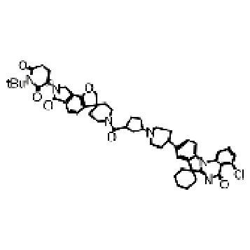 CC(C)(C)N1C(=O)CC[C@H](N2Cc3c(ccc4c3OCC43CCN(C(=O)C4CCC(N5CCC(c6ccc7c(c6)C6(CCCCC6)c6nc(=O)c8c(Cl)cccc8n6-7)CC5)C4)CC3)C2=O)C1=O